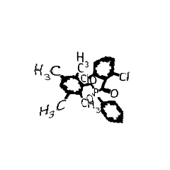 Cc1cc(C)c(C)c(C(=O)P(=O)(C(=O)c2c(Cl)cccc2Cl)c2ccccc2)c1C